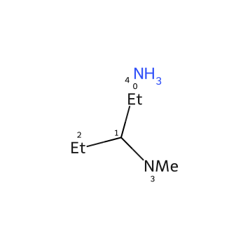 CCC(CC)NC.N